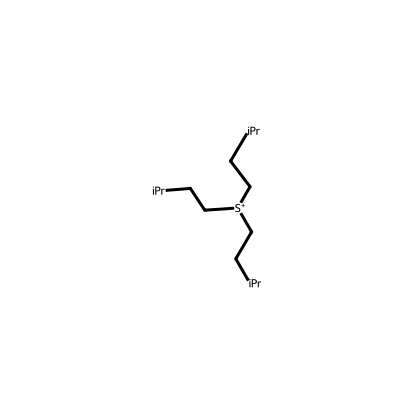 CC(C)CC[S+](CCC(C)C)CCC(C)C